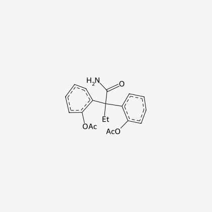 CCC(C(N)=O)(c1ccccc1OC(C)=O)c1ccccc1OC(C)=O